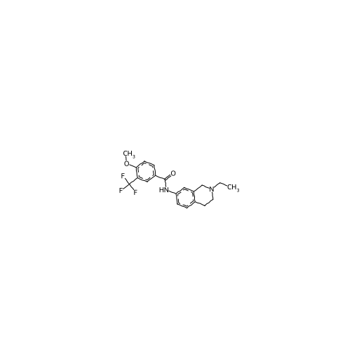 CCN1CCc2ccc(NC(=O)c3ccc(OC)c(C(F)(F)F)c3)cc2C1